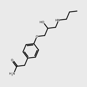 CCCNCC(O)COc1ccc(CC(N)=O)cc1